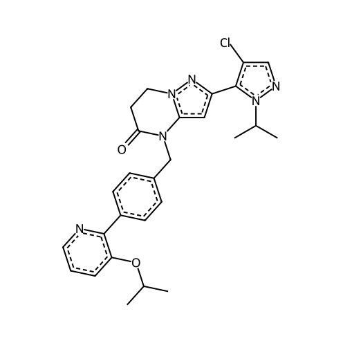 CC(C)Oc1cccnc1-c1ccc(CN2C(=O)CCn3nc(-c4c(Cl)cnn4C(C)C)cc32)cc1